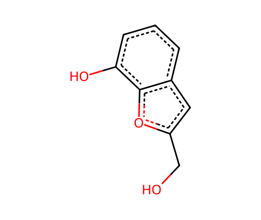 OCc1cc2cccc(O)c2o1